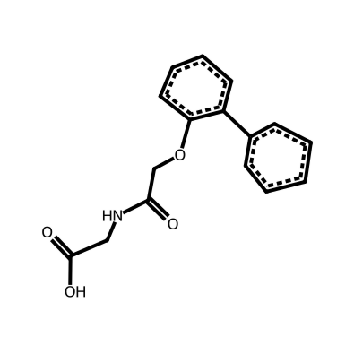 O=C(O)CNC(=O)COc1ccccc1-c1ccccc1